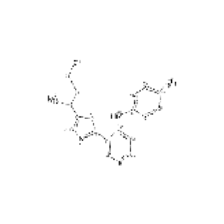 OC(CCCl)c1nnc(-c2ccccc2Nc2ccc(C(F)(F)F)cc2)o1